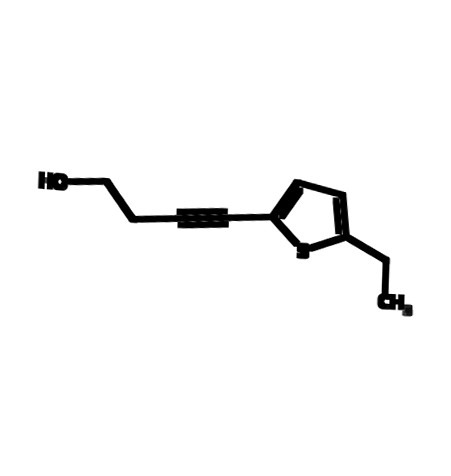 CCc1ccc(C#CCCO)s1